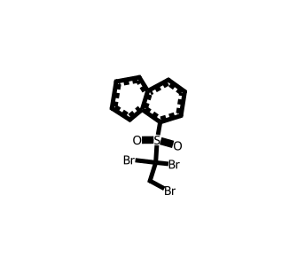 O=S(=O)(c1cccc2ccccc12)C(Br)(Br)CBr